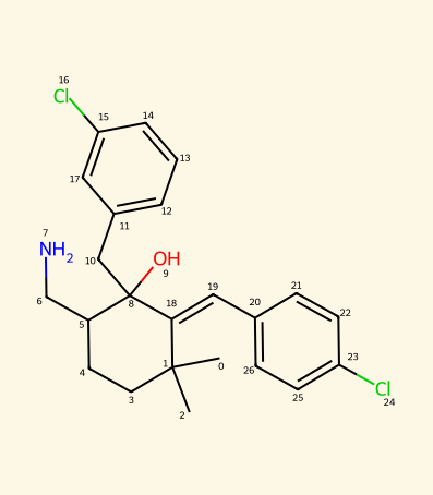 CC1(C)CCC(CN)C(O)(Cc2cccc(Cl)c2)C1=Cc1ccc(Cl)cc1